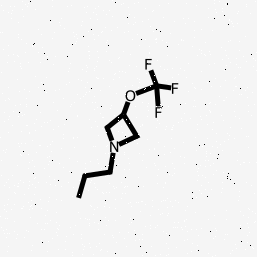 CCCN1CC(OC(F)(F)F)C1